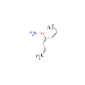 C=C/C=C(\C=C/C)ON